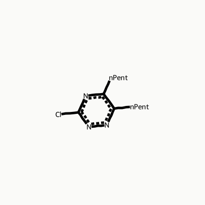 CCCCCc1nnc(Cl)nc1CCCCC